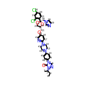 CCC(C)n1ncn(-c2ccc(N3CCN(c4ccc(OC[C@@H]5CO[C@@](Cn6ccnc6)(c6ccc(Cl)cc6Cl)O5)cn4)CC3)cc2)c1=O